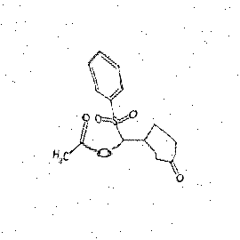 CC(=O)OC(C1CCC(=O)C1)S(=O)(=O)c1ccccc1